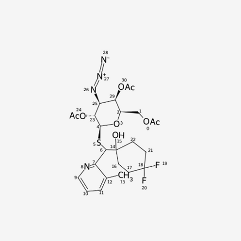 CC(=O)OC[C@H]1O[C@@H](SC(c2ncccc2C)C2(O)CCC(F)(F)CC2)[C@H](OC(C)=O)[C@@H](N=[N+]=[N-])[C@H]1OC(C)=O